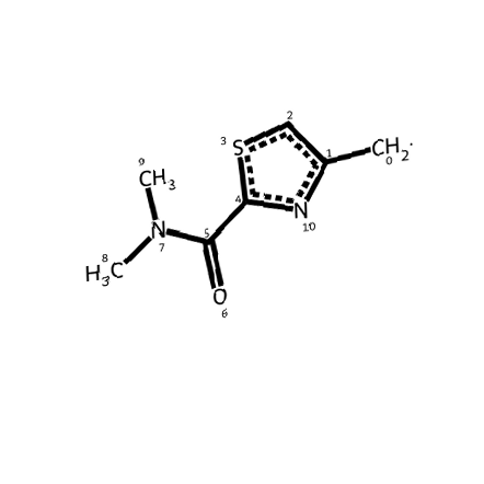 [CH2]c1csc(C(=O)N(C)C)n1